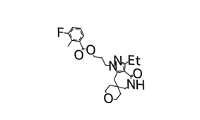 CCc1nn(CCCOC(=O)c2cccc(F)c2C)c2c1C(=O)NCC1(CCOCC1)C2